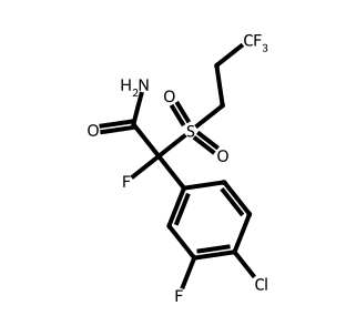 NC(=O)C(F)(c1ccc(Cl)c(F)c1)S(=O)(=O)CCC(F)(F)F